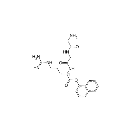 N=C(N)NCCC[C@H](NC(=O)CNC(=O)CN)C(=O)Oc1cccc2ccccc12